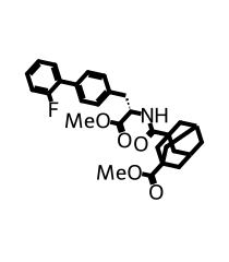 COC(=O)[C@H](Cc1ccc(-c2ccccc2F)cc1)NC(=O)C12CC3CC(C1)CC(C(=O)OC)(C3)C2